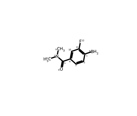 Bc1ccc(C(=O)N(C)C)cc1F